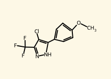 COc1ccc(-c2[nH]nc(C(F)(F)F)c2Cl)cc1